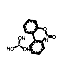 O=[PH]1Oc2ccccc2-c2ccccc21.OP(O)O